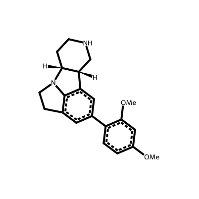 COc1ccc(-c2cc3c4c(c2)[C@H]2CNCC[C@H]2N4CC3)c(OC)c1